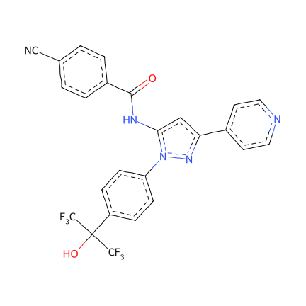 N#Cc1ccc(C(=O)Nc2cc(-c3ccncc3)nn2-c2ccc(C(O)(C(F)(F)F)C(F)(F)F)cc2)cc1